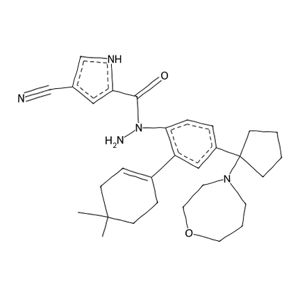 CC1(C)CC=C(c2cc(C3(N4CCCOCC4)CCCC3)ccc2N(N)C(=O)c2cc(C#N)c[nH]2)CC1